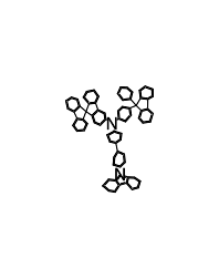 c1ccc(C2(c3ccc(N(c4ccc(-c5ccc(-n6c7ccccc7c7ccccc76)cc5)cc4)c4ccc5c(c4)-c4ccccc4C54c5ccccc5-c5ccccc54)cc3)c3ccccc3-c3ccccc32)cc1